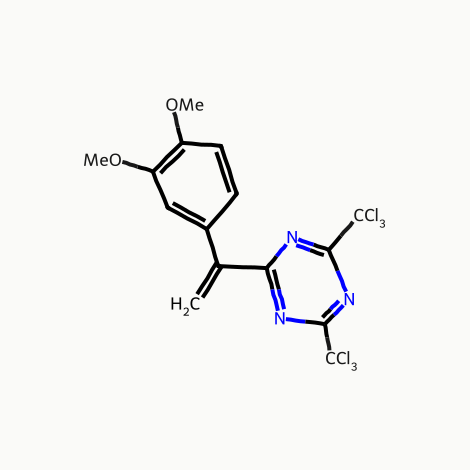 C=C(c1ccc(OC)c(OC)c1)c1nc(C(Cl)(Cl)Cl)nc(C(Cl)(Cl)Cl)n1